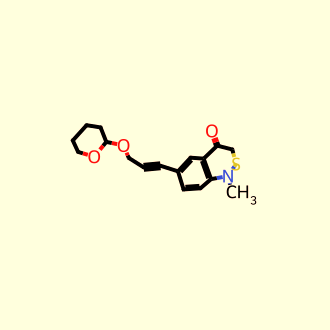 CN1SCC(=O)c2cc(C#CCOC3CCCCO3)ccc21